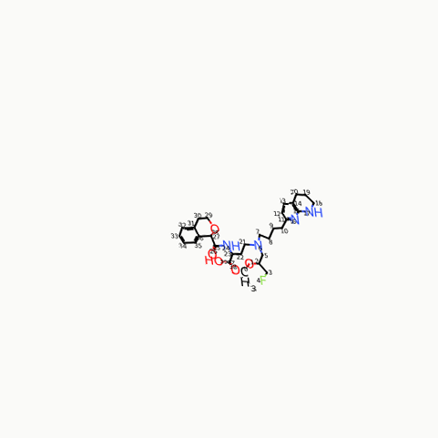 COC(CF)CN(CCCCc1ccc2c(n1)NCCC2)CCC(NC(=O)C1OCCc2ccccc21)C(=O)O